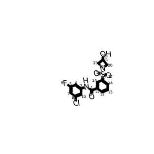 O=C(Nc1cc(F)cc(Cl)c1)c1cccc(S(=O)(=O)N2CC(O)C2)c1